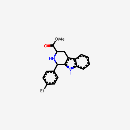 CCc1ccc(C2NC(C(=O)OC)Cc3c2[nH]c2ccccc32)cc1